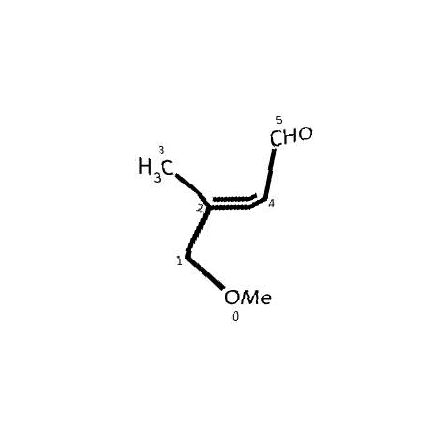 COCC(C)=CC=O